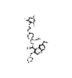 COc1ccc2ncc(CN3CCOCC3)c(C(O)CCC3(CO)CCN(CCSc4c(F)cc(F)cc4F)CC3)c2c1